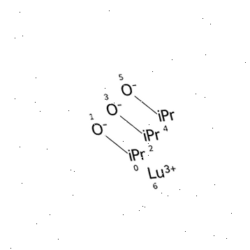 CC(C)[O-].CC(C)[O-].CC(C)[O-].[Lu+3]